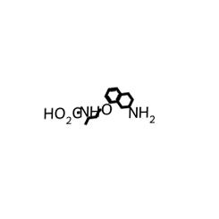 CC(CCOc1cccc2c1C[C@H](N)CC2)NC(=O)O